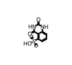 O=c1[nH]c(=O)c2c(S(=O)(=O)O)cccc2[nH]1